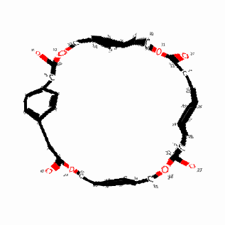 O=C1Cc2ccc(cc2)CC(=O)OCc2ccc(cc2)COC(=O)Cc2ccc(cc2)CC(=O)OCc2ccc(cc2)CO1